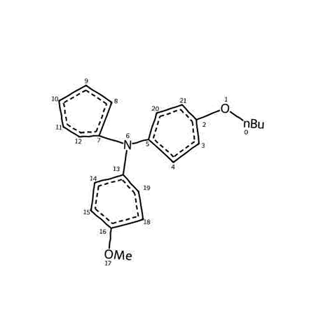 CCCCOc1ccc(N(c2ccccc2)c2ccc(OC)cc2)cc1